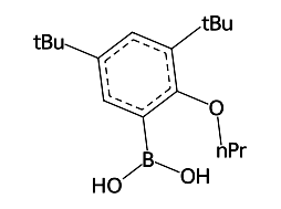 CCCOc1c(B(O)O)cc(C(C)(C)C)cc1C(C)(C)C